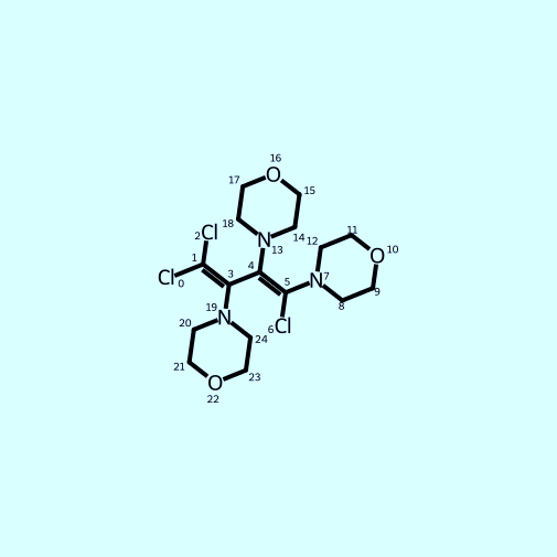 ClC(Cl)=C(C(=C(Cl)N1CCOCC1)N1CCOCC1)N1CCOCC1